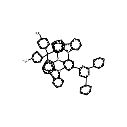 Cc1ccc(C2(c3ccc(C)cc3)c3ccccc3N(c3c(-n4c5ccccc5c5ccccc54)cc(-c4cc(-c5ccccc5)nc(-c5ccccc5)n4)cc3-n3c4ccccc4c4ccccc43)c3ccccc32)cc1